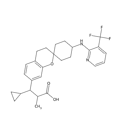 CC(C(=O)O)C(c1ccc2c(c1)OC1(CC2)CCC(Nc2ncccc2C(F)(F)F)CC1)C1CC1